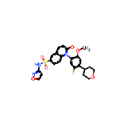 COc1cc(C2CCOCC2)c(F)cc1-n1c(=O)ccc2cc(S(=O)(=O)Nc3ccon3)ccc21